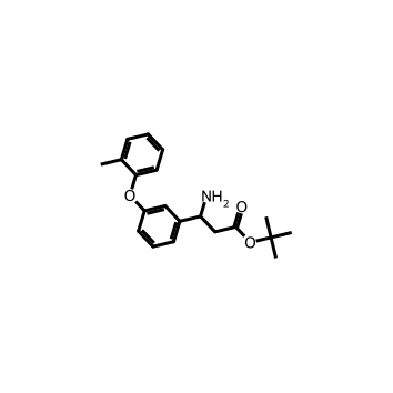 Cc1ccccc1Oc1cccc(C(N)CC(=O)OC(C)(C)C)c1